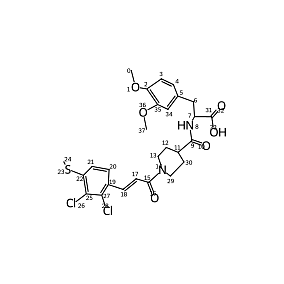 COc1ccc(CC(NC(=O)C2CCN(C(=O)C=Cc3ccc(SC)c(Cl)c3Cl)CC2)C(=O)O)cc1OC